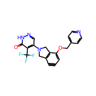 O=c1[nH]ncc(N2Cc3c#ccc(OCc4ccncc4)c3C2)c1C(F)(F)F